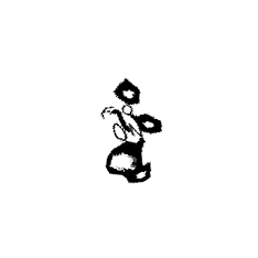 O=C(CF)N(Cc1cccc2ccccc12)c1ccccc1Oc1ccccc1